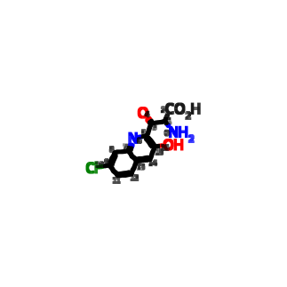 NC(C(=O)O)C(=O)c1nc2cc(Cl)ccc2cc1O